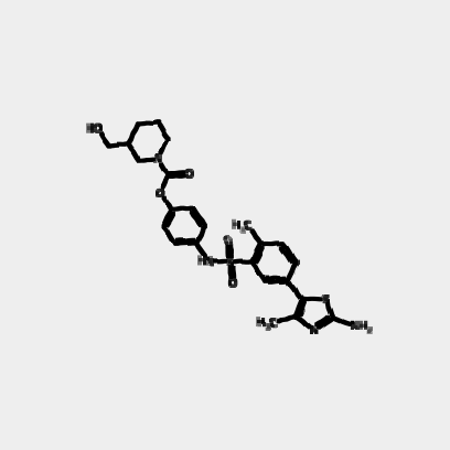 Cc1ccc(-c2sc(N)nc2C)cc1S(=O)(=O)Nc1ccc(OC(=O)N2CCCC(CO)C2)cc1